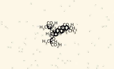 CC(C)(CC(=O)O)CC(=O)OC[C@@]1(C)[C@@H]2CC[C@]3(C)[C@H](CC=C4[C@@H]5CC(C)(C)CC[C@]5(C(=O)O)CC[C@]43C)[C@@]2(C)CC[C@@H]1OC(=O)CC(C)(C)CC(=O)O